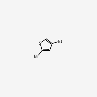 CCc1csc(Br)c1